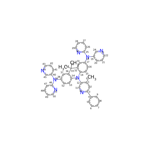 Cc1cc(-c2ccccc2)ncc1N1c2ccc(N(c3cccnc3)c3ccccn3)cc2C(C)(C)c2cc(N(c3cccnc3)c3ccccn3)ccc21